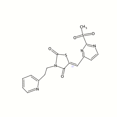 CS(=O)(=O)c1nccc(/C=C2\SC(=O)N(CCc3ccccn3)C2=O)n1